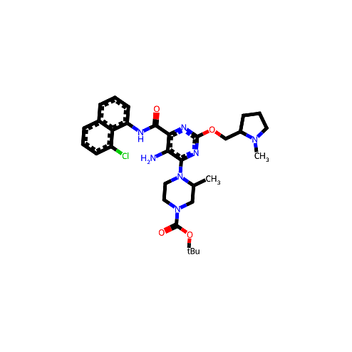 CC1CN(C(=O)OC(C)(C)C)CCN1c1nc(OCC2CCCN2C)nc(C(=O)Nc2cccc3cccc(Cl)c23)c1N